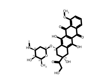 COc1cccc2c1C(=O)c1c(O)c3c(c(O)c1C2=O)C[C@@](O)(C(=O)CO)C[C@@H]3O[C@@H]1C[C@H](NI)[C@H](O)[C@H](C)O1